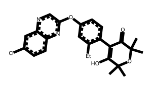 CCc1cc(Oc2cnc3cc(Cl)ccc3n2)ccc1C1=C(O)C(C)(C)OC(C)(C)C1=O